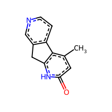 Cc1cc(=O)[nH]c2c1-c1ccncc1C2